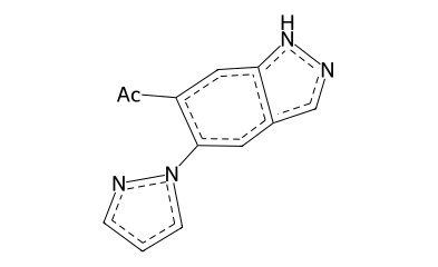 CC(=O)c1cc2[nH]ncc2cc1-n1cccn1